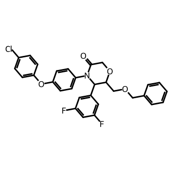 O=C1COC(COCc2ccccc2)C(c2cc(F)cc(F)c2)N1c1ccc(Oc2ccc(Cl)cc2)cc1